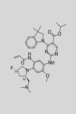 C=CC(=O)Nc1cc(Nc2ncc(C(=O)OC(C)C)c(N3CC(C)(C)c4ccccc43)n2)c(OC)cc1N1C[C@@H](F)C[C@@H]1CN(C)C